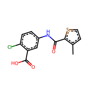 Cc1ccsc1C(=O)Nc1ccc(Cl)c(C(=O)O)c1